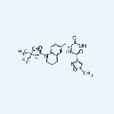 Cc1cc(C(=O)N[C@H](Cc2ccc3c(c2)CCCN3C(=O)OC(C)(C)C)C(=O)O)no1